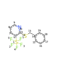 FS(F)(F)(F)(F)c1cccnc1SCc1ccccc1